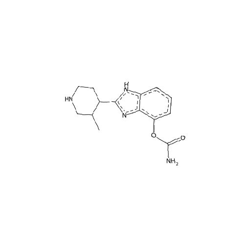 CC1CNCCC1c1nc2c(OC(N)=O)cccc2[nH]1